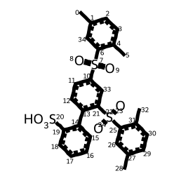 Cc1ccc(C)c(S(=O)(=O)c2ccc(-c3ccccc3S(=O)(=O)O)c(S(=O)(=O)c3cc(C)ccc3C)c2)c1